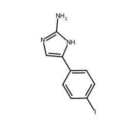 Nc1ncc(-c2ccc(I)cc2)[nH]1